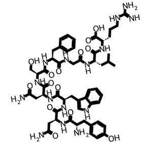 CC(C)C[C@H](NC(=O)CNC(=O)[C@H](Cc1ccccc1)NC(=O)[C@H](CO)NC(=O)[C@H](CC(N)=O)NC(=O)[C@@H](Cc1c[nH]c2ccccc12)NC(=O)[C@H](CC(N)=O)NC(=O)[C@@H](N)Cc1ccc(O)cc1)C(=O)N[C@@H](CCCNC(=N)N)C(=O)O